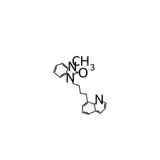 Cn1c(=O)n(CCCCc2cccc3cccnc23)c2ccccc21